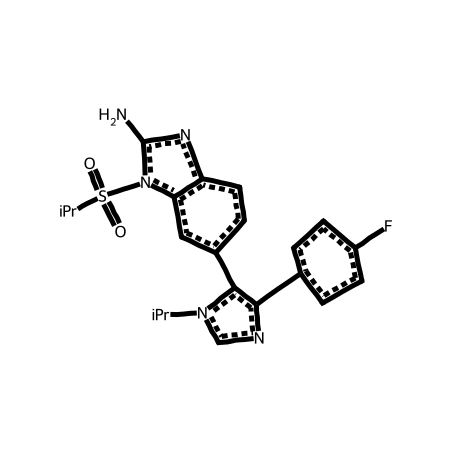 CC(C)n1cnc(-c2ccc(F)cc2)c1-c1ccc2nc(N)n(S(=O)(=O)C(C)C)c2c1